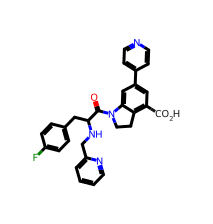 O=C(O)c1cc(-c2ccncc2)cc2c1CCN2C(=O)C(Cc1ccc(F)cc1)NCc1ccccn1